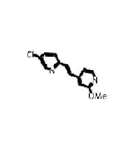 COc1cc(/C=C/c2ccc(Cl)cn2)ccn1